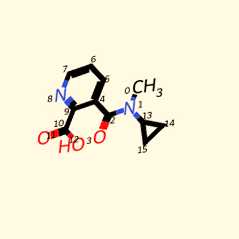 CN(C(=O)c1cccnc1C(=O)O)C1CC1